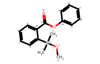 CO[Si](C)(C)c1ccccc1C(=O)Oc1ccccc1